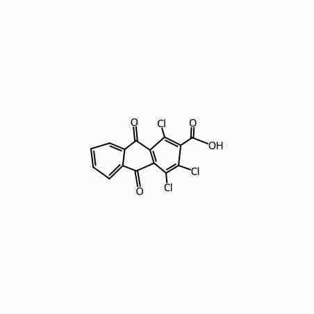 O=C(O)c1c(Cl)c(Cl)c2c(c1Cl)C(=O)c1ccccc1C2=O